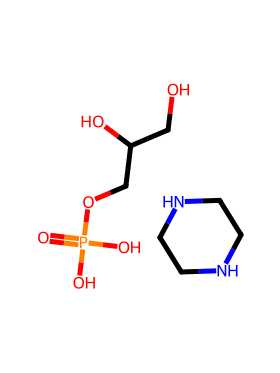 C1CNCCN1.O=P(O)(O)OCC(O)CO